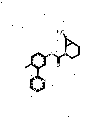 Cc1ccc(NC(=O)N2CCCC3C2C3C(F)(F)F)cc1-c1ccccn1